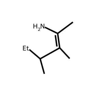 CCC(C)C(C)=C(C)N